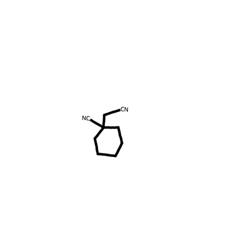 N#CCC1(C#N)CCCCC1